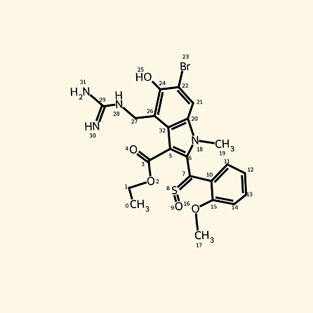 CCOC(=O)c1c(C(=S=O)c2ccccc2OC)n(C)c2cc(Br)c(O)c(CNC(=N)N)c12